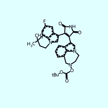 CC(C)(C)OC(=O)ON1CCn2cc(C3=C(c4cn5c6c(cc(F)cc46)C(C)(C)CC5)C(=O)NC3=O)c3cccc(c32)C1